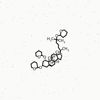 C[C@H](CCCC(C)(C)OC1CCCCO1)[C@H]1CC[C@H]2[C@@H]3CC=C4C[C@@H](OC5CCCCO5)C[C@H](OC5CCCCO5)[C@]4(C)[C@H]3CC[C@]12C